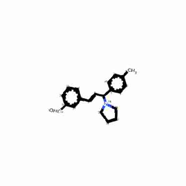 Cc1ccc(C(/C=C/c2cccc(C=O)c2)N2CCCC2)cc1